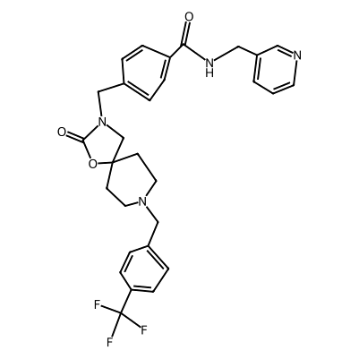 O=C(NCc1cccnc1)c1ccc(CN2CC3(CCN(Cc4ccc(C(F)(F)F)cc4)CC3)OC2=O)cc1